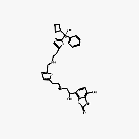 O=c1[nH]c2c(O)ccc(C(O)CNCCc3ccc(CNCCc4cnc([C@](O)(c5ccccc5)C5CCC5)o4)s3)c2s1